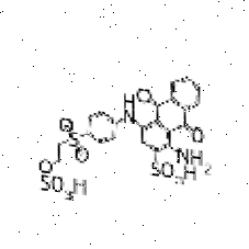 Nc1c(S(=O)(=O)O)cc(Nc2ccc(S(=O)(=O)CCOS(=O)(=O)O)cc2)c2c1C(=O)c1ccccc1C2=O